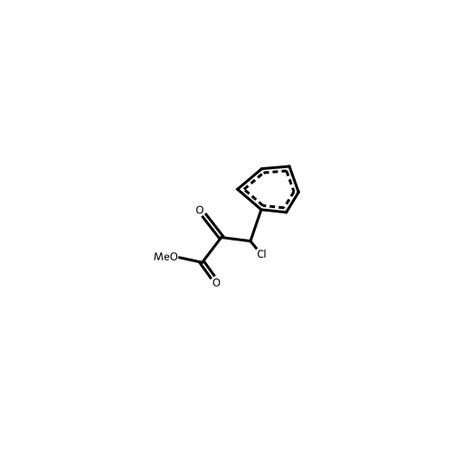 COC(=O)C(=O)C(Cl)c1ccccc1